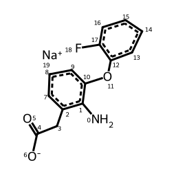 Nc1c(CC(=O)[O-])cccc1Oc1ccccc1F.[Na+]